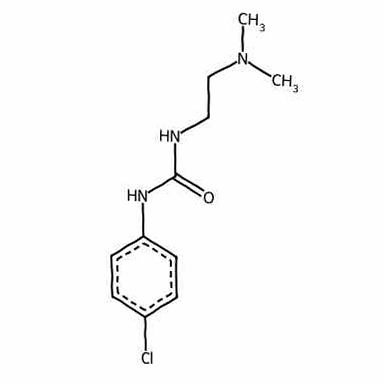 CN(C)CCNC(=O)Nc1ccc(Cl)cc1